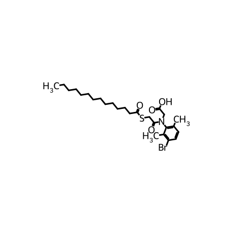 CCCCCCCCCCCCCC(=O)SCC(=O)N(CC(=O)O)c1c(C)ccc(Br)c1C